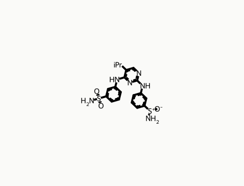 CC(C)c1cnc(Nc2cccc([S+](N)[O-])c2)nc1Nc1cccc(S(N)(=O)=O)c1